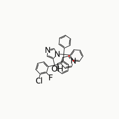 OC(c1ccncc1)(c1cccc(Cl)c1F)c1cncn1C(c1ccccc1)(c1ccccc1)c1ccccc1